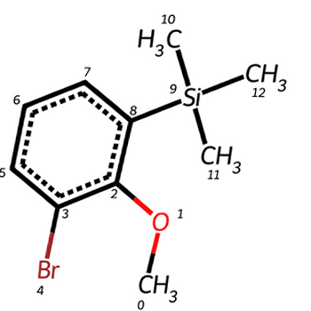 COc1c(Br)cccc1[Si](C)(C)C